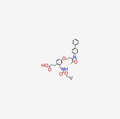 CC1=C(CCOc2ccc(CCC(=O)O)c(CNC(=O)OCC3CC3)c2)N(c2ccc(-c3ccccc3)cc2)CO1